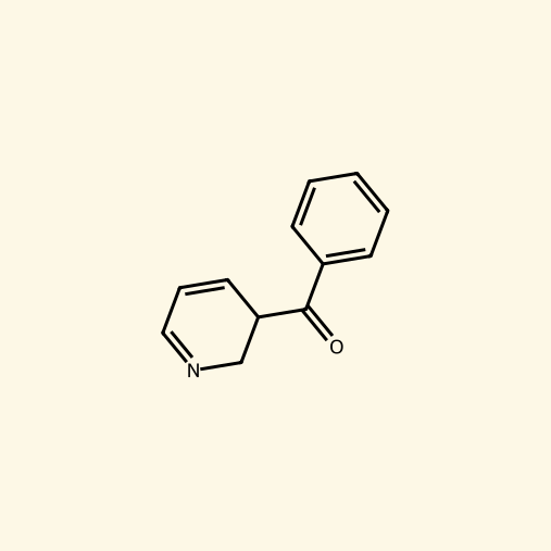 O=C(c1ccccc1)C1C=CC=NC1